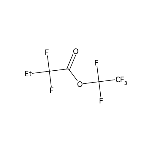 CCC(F)(F)C(=O)OC(F)(F)C(F)(F)F